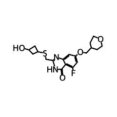 O=c1[nH]c(CSC2CC(O)C2)nc2cc(OCC3CCOCC3)cc(F)c12